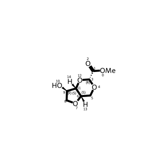 COC(=O)[C@@H]1OC[C@@H]2OC[C@@H](O)[C@@H]2O1